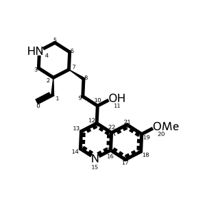 C=C[C@H]1CNCC[C@H]1CCC(O)c1ccnc2ccc(OC)cc12